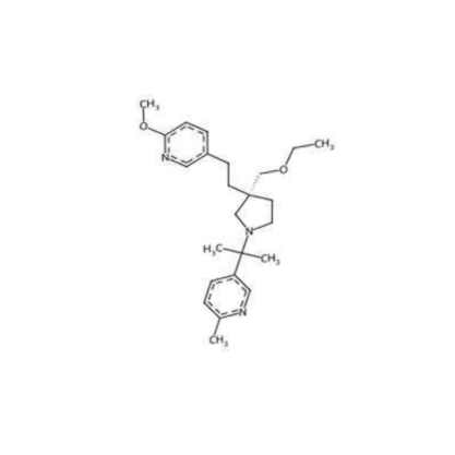 CCOC[C@]1(CCc2ccc(OC)nc2)CCN(C(C)(C)c2ccc(C)nc2)C1